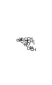 CC(C)(C)OC(=O)N(C/C=C/C(=O)N1CCC1)CCOc1ccc(I)cn1